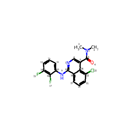 CN(C)C(=O)c1cnc(Nc2cccc(F)c2F)c2cccc(Cl)c12